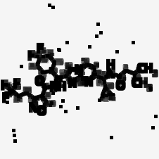 CC(C)CC(=O)N[C@H](c1ccn2cc([C@@H](NC(=O)c3conc3CCC(F)(F)F)C3CCC(F)(F)CC3)nc2n1)C1CC1